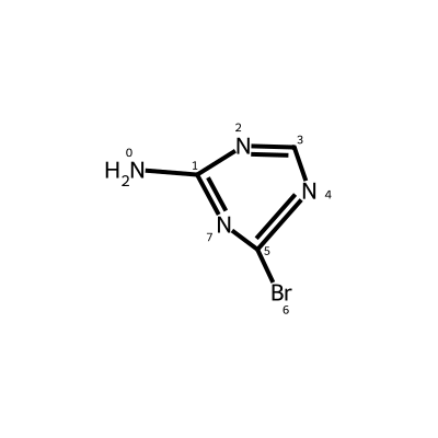 Nc1ncnc(Br)n1